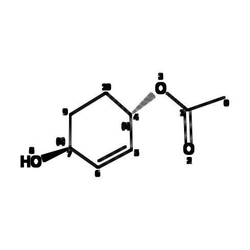 CC(=O)O[C@@H]1C=C[C@@H](O)CC1